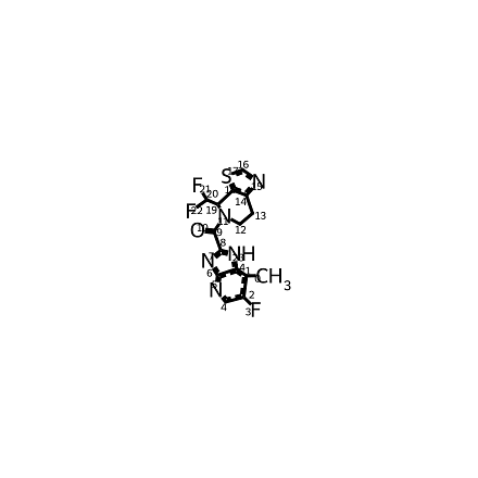 Cc1c(F)cnc2nc(C(=O)N3CCc4ncsc4C3C(F)F)[nH]c12